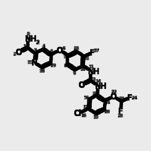 NC(=O)c1cc(Oc2ccc(NC(=O)Nc3cc(Cl)ccc3OC(F)F)c(F)c2)ccn1